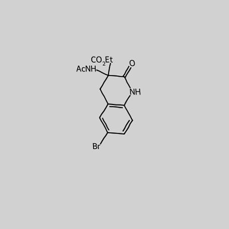 CCOC(=O)C1(NC(C)=O)Cc2cc(Br)ccc2NC1=O